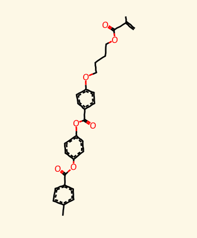 C=C(C)C(=O)OCCCCOc1ccc(C(=O)Oc2ccc(OC(=O)c3ccc(C)cc3)cc2)cc1